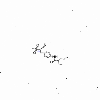 CCCCC(CC)C(=O)Nc1ccc(/C=C(\C#N)S(C)(=O)=O)cc1